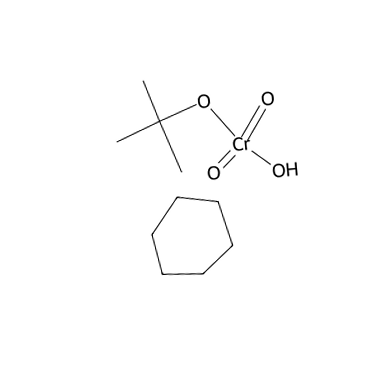 C1CCCCC1.CC(C)(C)[O][Cr](=[O])(=[O])[OH]